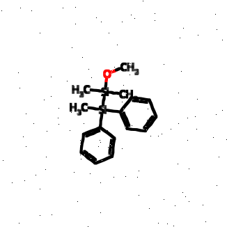 CO[Si](C)(C)[Si](C)(c1ccccc1)c1ccccc1